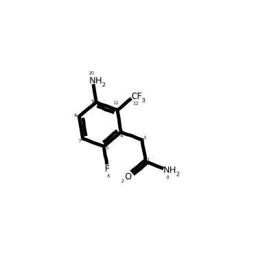 NC(=O)Cc1c(F)ccc(N)c1C(F)(F)F